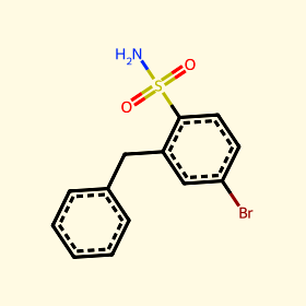 NS(=O)(=O)c1ccc(Br)cc1Cc1ccccc1